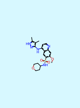 COc1cc2nccc(Nc3n[nH]c(C)c3C)c2cc1S(=O)(=O)NC1CCOCC1